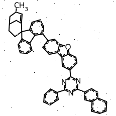 CC1C=C2CC(CCC23c2ccccc2-c2c(-c4ccc5c(c4)oc4ccc(-c6nc(-c7ccccc7)nc(-c7ccc8ccccc8c7)n6)cc45)cccc23)C1